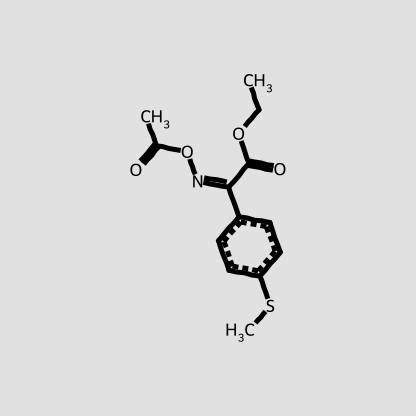 CCOC(=O)C(=NOC(C)=O)c1ccc(SC)cc1